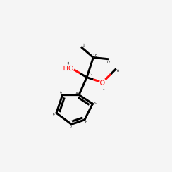 COC(O)(c1ccccc1)C(C)C